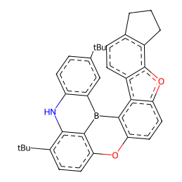 CC(C)(C)c1ccc2c(c1)B1c3c(ccc(C(C)(C)C)c3N2)Oc2ccc3oc4c5c(ccc4c3c21)CCC5